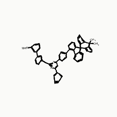 CNc1cccc(-c2cccc(-c3nc(-c4ccccc4)cc(-c4ccc(-c5cccc6c5-c5ccccc5C65c6ccccc6C(C)(C)c6ccccc65)cc4)n3)c2)c1